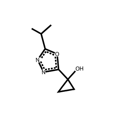 CC(C)c1nnc(C2(O)CC2)o1